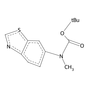 CN(C(=O)OC(C)(C)C)c1ccc2ncsc2c1